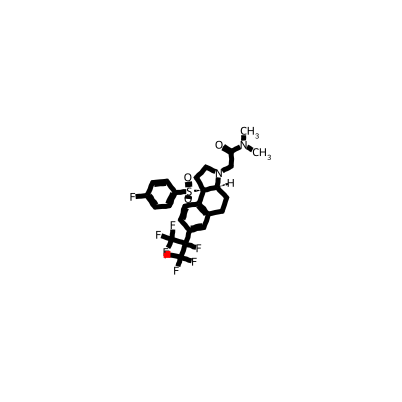 CN(C)C(=O)CN1CC[C@]2(S(=O)(=O)c3ccc(F)cc3)c3ccc(C(F)(C(F)(F)F)C(F)(F)F)cc3CC[C@H]12